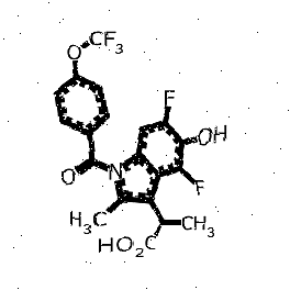 Cc1c([C@@H](C)C(=O)O)c2c(F)c(O)c(F)cc2n1C(=O)c1ccc(OC(F)(F)F)cc1